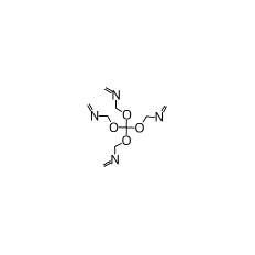 C=NCOC(OCN=C)(OCN=C)OCN=C